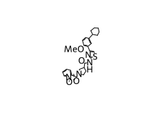 COc1ccc(C2CCCCC2)cc1-c1csc(NC(=O)C2CCN(C(=O)c3cccc[n+]3[O-])C2)n1